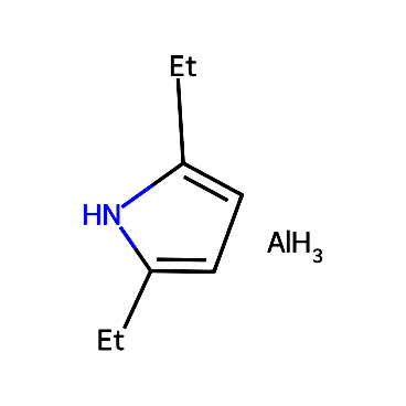 CCc1ccc(CC)[nH]1.[AlH3]